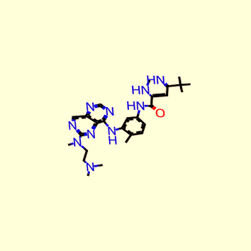 CN/C(=C\C(=N)C(C)(C)C)C(=O)Nc1ccc(C)c(Nc2ncnc3cnc(N(C)CCN(C)C)nc23)c1